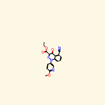 CCOC(=O)c1nn(-c2ccc(OC)nc2)c2cccc(C#N)c2c1=O